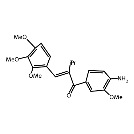 COc1cc(C(=O)/C(=C/c2ccc(OC)c(OC)c2OC)C(C)C)ccc1N